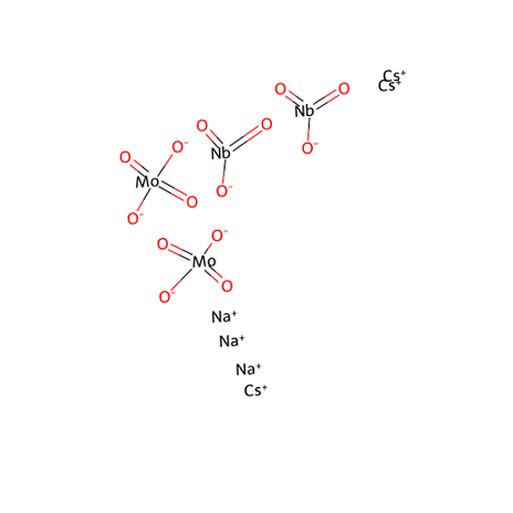 [Cs+].[Cs+].[Cs+].[Na+].[Na+].[Na+].[O]=[Mo](=[O])([O-])[O-].[O]=[Mo](=[O])([O-])[O-].[O]=[Nb](=[O])[O-].[O]=[Nb](=[O])[O-]